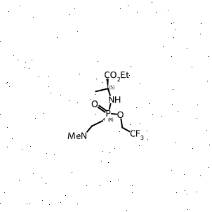 CCOC(=O)[C@H](C)N[P@@](=O)(CCNC)OCC(F)(F)F